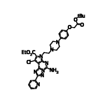 CCOC(=O)c1c(Cl)c2c(nc(N)n3nc(-c4ccccn4)nc23)n1CCN1CCN(c2ccc(OCC(=O)OC(C)(C)C)cc2)CC1